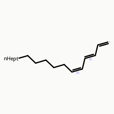 [CH]=C/C=C/C=C\CCCCCCCCCCCC